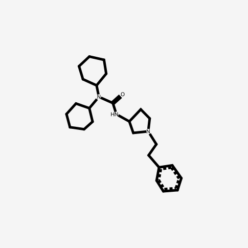 O=C(NC1CCN(CCc2ccccc2)C1)N(C1CCCCC1)C1CCCCC1